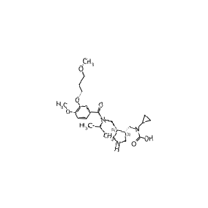 COCCCOc1cc(C(=O)N(C[C@@H]2CNC[C@H]2CN(C(=O)O)C2CC2)C(C)C)ccc1OC